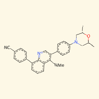 CNc1c(-c2ccc(N3CC(C)OC(C)C3)cc2)cnc2c(-c3ccc(C#N)cc3)cccc12